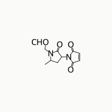 CC1CC(N2C(=O)C=CC2=O)C(=O)N1CC=O